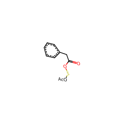 CC(=O)OSOC(=O)Cc1ccccc1